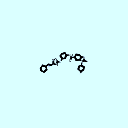 Cc1nc2ccc(C(=O)Nc3cccc(Oc4nc(/C=C/c5ccccc5)ns4)c3)cc2n1-c1ccc(F)cc1